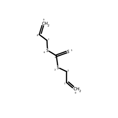 C=CCSC(=S)SCC=C